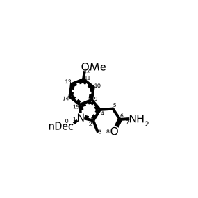 CCCCCCCCCCn1c(C)c(CC(N)=O)c2cc(OC)ccc21